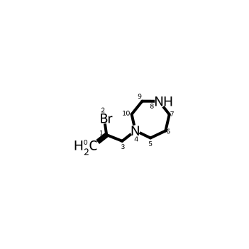 C=C(Br)CN1CCCNCC1